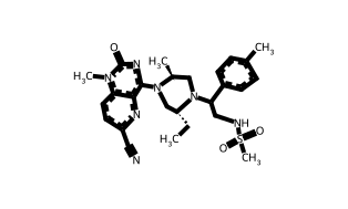 CC[C@@H]1CN(c2nc(=O)n(C)c3ccc(C#N)nc23)[C@@H](C)CN1C(CNS(C)(=O)=O)c1ccc(C)cc1